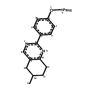 CCCCCOc1ccc(-c2ncc3c(n2)CCC(C)C3)cc1